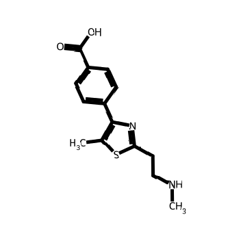 CNCCc1nc(-c2ccc(C(=O)O)cc2)c(C)s1